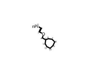 CCCC=COCC1CC[CH]CCCC1